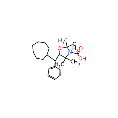 CC1(C)OC(C(c2ccccc2)C2CCCCCCC2)C(C)(C)N1C(=O)O